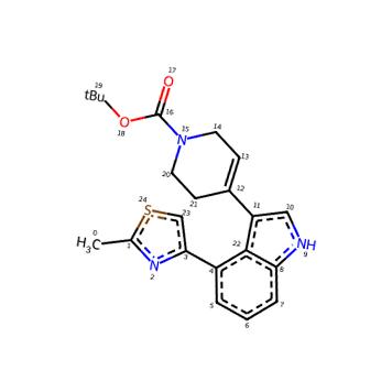 Cc1nc(-c2cccc3[nH]cc(C4=CCN(C(=O)OC(C)(C)C)CC4)c23)cs1